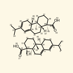 CC(C)C1=CC2=CC[C@@H]3[C@](C)(CCC[C@@]3(C)C(=O)O)[C@H]2CC1.CC(C)C1=CC[C@H]2C(=C1)CC[C@@H]1[C@]2(C)CCC[C@@]1(C)C(=O)O